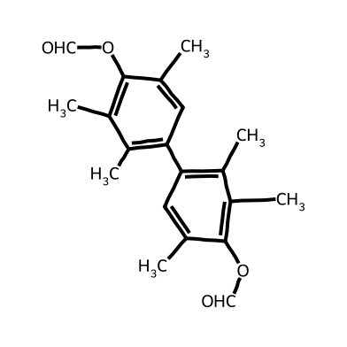 Cc1cc(-c2cc(C)c(OC=O)c(C)c2C)c(C)c(C)c1OC=O